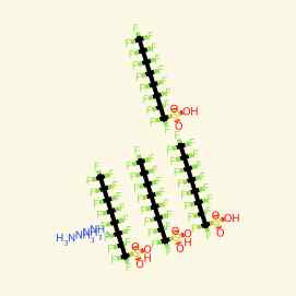 N.N.N.N.O=S(=O)(O)C(F)(F)C(F)(F)C(F)(F)C(F)(F)C(F)(F)C(F)(F)C(F)(F)C(F)(F)F.O=S(=O)(O)C(F)(F)C(F)(F)C(F)(F)C(F)(F)C(F)(F)C(F)(F)C(F)(F)C(F)(F)F.O=S(=O)(O)C(F)(F)C(F)(F)C(F)(F)C(F)(F)C(F)(F)C(F)(F)C(F)(F)C(F)(F)F.O=S(=O)(O)C(F)(F)C(F)(F)C(F)(F)C(F)(F)C(F)(F)C(F)(F)C(F)(F)C(F)(F)F